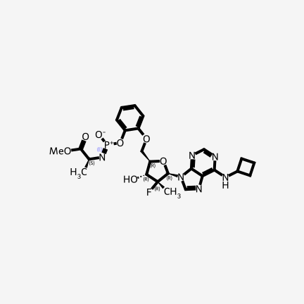 COC(=O)[C@H](C)/N=[P+](\[O-])Oc1ccccc1OC[C@H]1O[C@@H](n2cnc3c(NC4CCC4)ncnc32)[C@](C)(F)[C@@H]1O